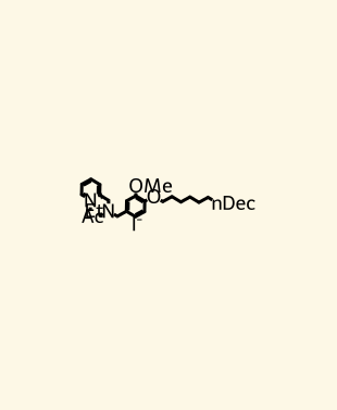 CCCCCCCCCCCCCCCCOc1ccc(CN(Cc2cccc[n+]2CC)C(C)=O)cc1OC.[I-]